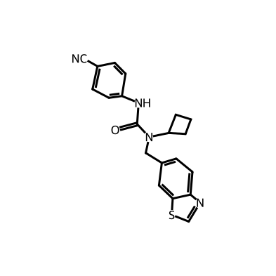 N#Cc1ccc(NC(=O)N(Cc2ccc3ncsc3c2)C2CCC2)cc1